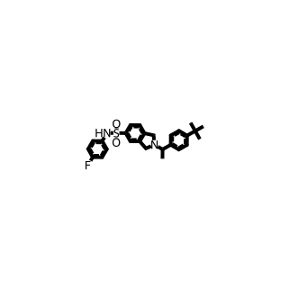 CC(c1ccc(C(C)(C)C)cc1)N1Cc2ccc(S(=O)(=O)Nc3ccc(F)cc3)cc2C1